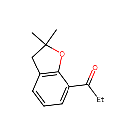 CCC(=O)c1cccc2c1OC(C)(C)C2